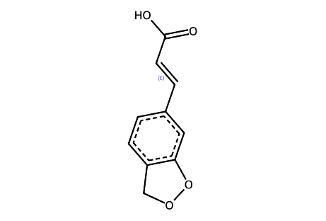 O=C(O)/C=C/c1ccc2c(c1)OOC2